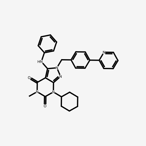 Cn1c(=O)c2c(Nc3ccccc3)n(Cc3ccc(-c4ccccn4)cc3)nc2n(C2CCCCC2)c1=O